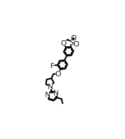 CCc1ccnc(N2CCC(COc3ccc(-c4ccc5c(c4)OCS5(=O)=O)cc3F)C2)n1